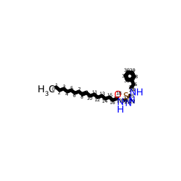 CCCCCCCCC=CCCCCCCCC(=O)Nc1nnc(NCCc2ccccc2)s1